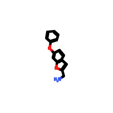 NCc1cc2ccc(Oc3ccccc3)cc2o1